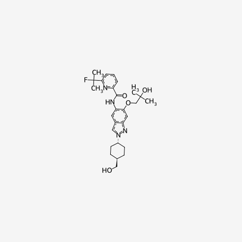 CC(C)(O)COc1cc2nn([C@H]3CC[C@H](CO)CC3)cc2cc1NC(=O)c1cccc(C(C)(C)F)n1